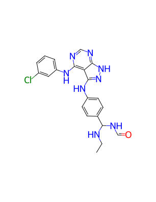 CCNC(NC=O)c1ccc(Nc2n[nH]c3ncnc(Nc4cccc(Cl)c4)c23)cc1